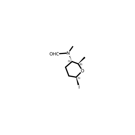 C[C@H]1O[C@@H](I)CC[C@@H]1N(C)C=O